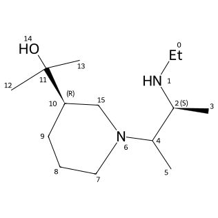 CCN[C@@H](C)C(C)N1CCC[C@@H](C(C)(C)O)C1